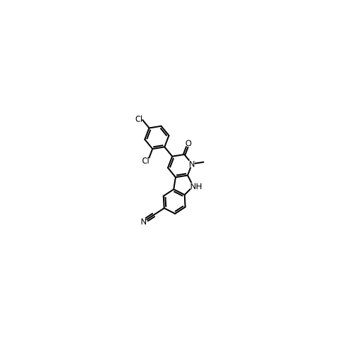 Cn1c(=O)c(-c2ccc(Cl)cc2Cl)cc2c3cc(C#N)ccc3[nH]c21